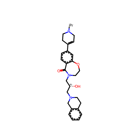 CC(C)N1CC=C(c2ccc3c(c2)OCCN(C[C@H](O)CN2CCc4ccccc4C2)C3=O)CC1